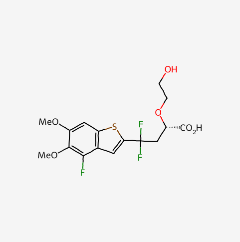 COc1cc2sc(C(F)(F)C[C@H](OCCO)C(=O)O)cc2c(F)c1OC